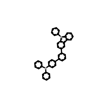 c1ccc(N(c2ccccc2)c2ccc(-c3cccc(-c4ccc5c(c4)c4ccccc4n5-c4ccccc4)c3)cc2)cc1